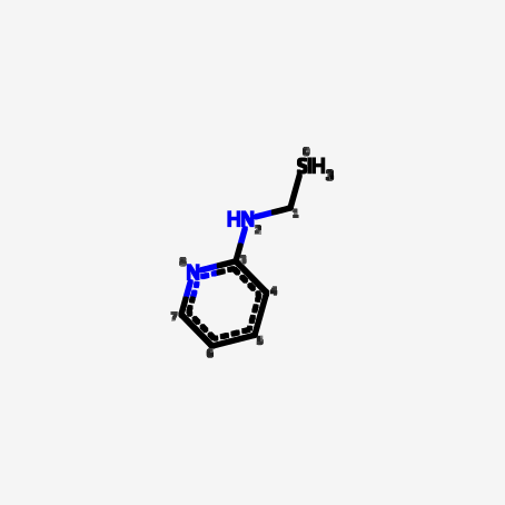 [SiH3]CNc1ccccn1